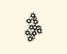 c1ccc(N2c3ccccc3Oc3ccc(-c4c5ccccc5c(-c5ccc6c(c5)N(c5ccccc5)c5ccccc5O6)c5c4cnc4ccccc45)cc32)cc1